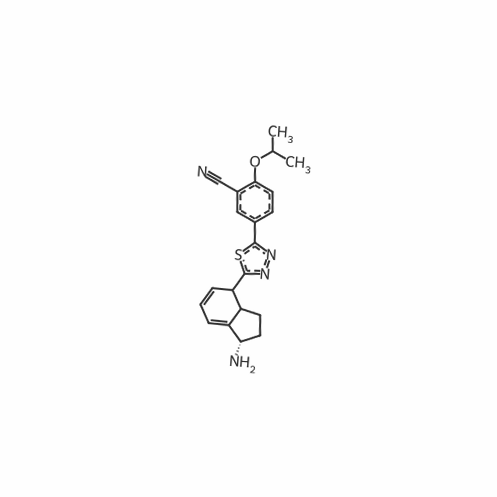 CC(C)Oc1ccc(-c2nnc(C3C=CC=C4C3CC[C@@H]4N)s2)cc1C#N